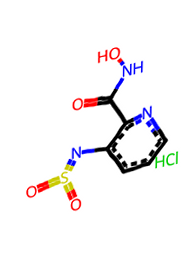 Cl.O=C(NO)c1ncccc1N=S(=O)=O